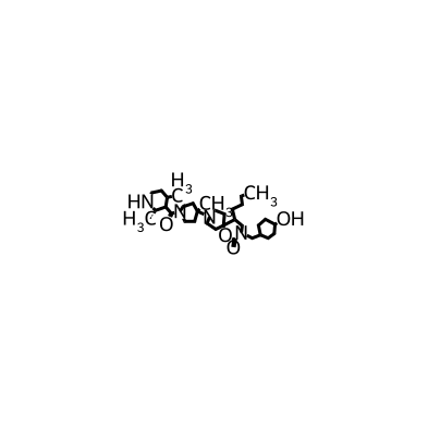 CCCCC1CN(CC2CCC(O)CC2)C(=O)OC12CCN(C1(C)CCN(C(=O)C3C(C)CCN[C@H]3C)CC1)CC2